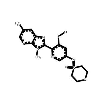 CCSc1cc(N=S2(=O)CCOCC2)cnc1-c1nc2cc(C(F)(F)F)cnc2n1C